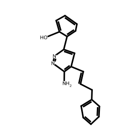 Nc1nnc(-c2ccccc2O)cc1C=CCc1ccccc1